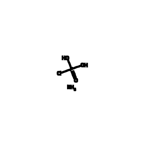 N.O=P(O)(O)Cl